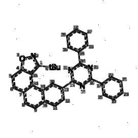 CC(C)(C)c1noc2ccc3ccc4ccc(-c5nc(-c6ccccc6)nc(-c6ccccc6)n5)cc4c3c12